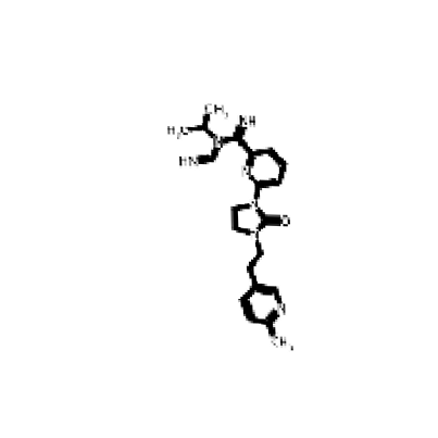 Cc1ccc(CCN2CCN(c3cccc(C(=N)N(C=N)C(C)C)n3)C2=O)cn1